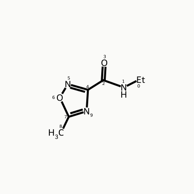 CCNC(=O)c1noc(C)n1